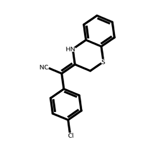 N#CC(=C1CSc2ccccc2N1)c1ccc(Cl)cc1